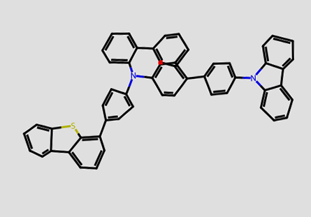 c1ccc(-c2ccccc2N(c2ccc(-c3ccc(-n4c5ccccc5c5ccccc54)cc3)cc2)c2ccc(-c3cccc4c3sc3ccccc34)cc2)cc1